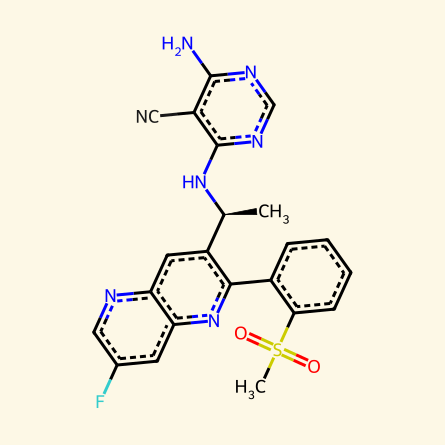 C[C@H](Nc1ncnc(N)c1C#N)c1cc2ncc(F)cc2nc1-c1ccccc1S(C)(=O)=O